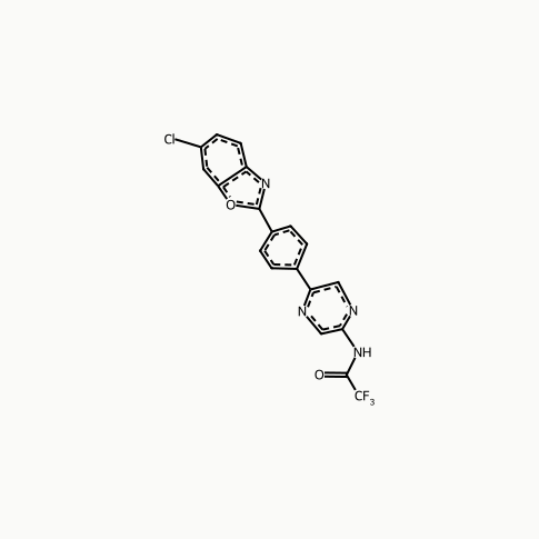 O=C(Nc1cnc(-c2ccc(-c3nc4ccc(Cl)cc4o3)cc2)cn1)C(F)(F)F